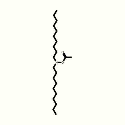 CCCCCCCCCCN(CCCCCCCCCC)OC(C)=O